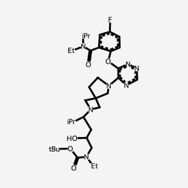 CCN(CC(O)CC(C(C)C)N1CC2(CCN(c3ncnnc3Oc3ccc(F)cc3C(=O)N(CC)C(C)C)C2)C1)C(=O)OC(C)(C)C